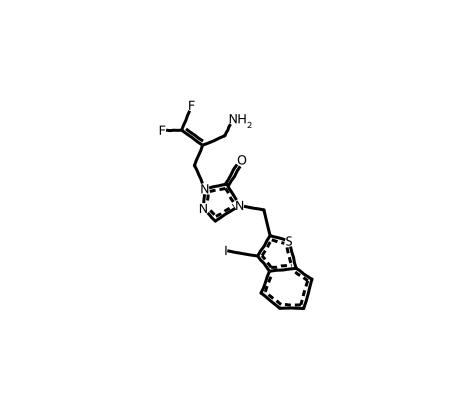 NCC(Cn1ncn(Cc2sc3ccccc3c2I)c1=O)=C(F)F